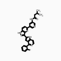 CC(C)CC(=O)Nc1cncc(-c2ccc3[nH]nc(-c4cc5c(-c6ccccc6F)nccc5[nH]4)c3n2)c1